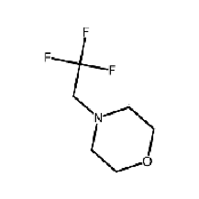 FC(F)(F)CN1[CH]COCC1